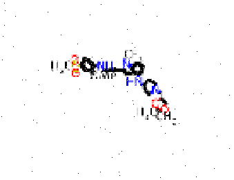 COc1cc(S(C)(=O)=O)ccc1NCC#Cc1cc2c(NC3CCN(C[C@@H]4COC(C)(C)O4)CC3)cccc2n1CC(F)(F)F